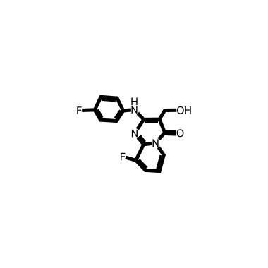 O=c1c(CO)c(Nc2ccc(F)cc2)nc2c(F)cccn12